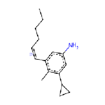 CCCC/C=C\c1cc(N)cc(C2CC2)c1C